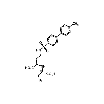 Cc1ccc(-c2ccc(S(=O)(=O)NCCC(N[C@@H](CC(C)C)C(=O)O)C(=O)O)cc2)cc1